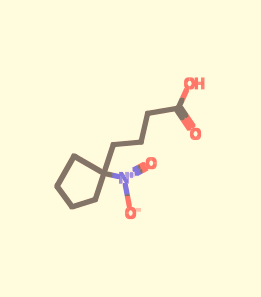 O=C(O)CCCC1([N+](=O)[O-])CCCC1